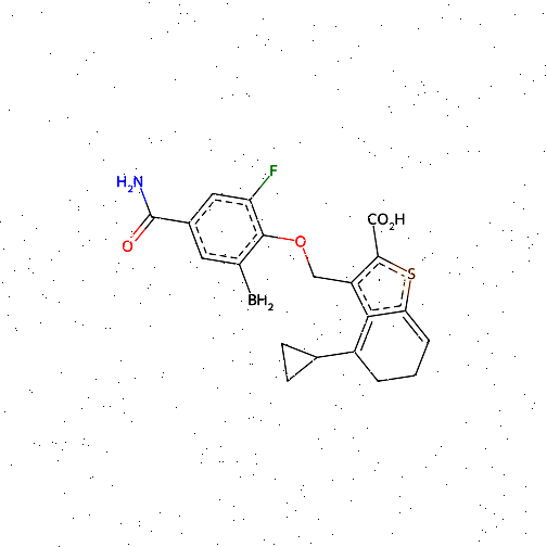 Bc1cc(C(N)=O)cc(F)c1OCc1c(C(=O)O)sc2c1=C(C1CC1)CCC=2